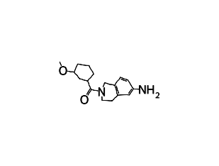 COC1CCCC(C(=O)N2CCc3cc(N)ccc3C2)C1